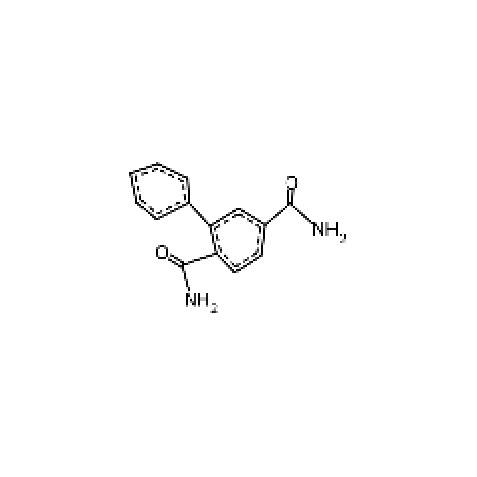 NC(=O)c1ccc(C(N)=O)c(-c2ccccc2)c1